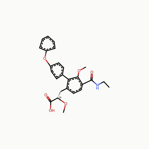 CCNC(=O)c1ccc(C[C@H](OC)C(=O)O)c(-c2ccc(Oc3ccccc3)cc2)c1OC